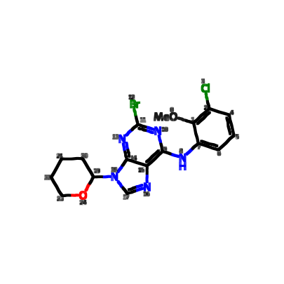 COc1c(Cl)cccc1Nc1nc(Br)nc2c1ncn2C1CCCCO1